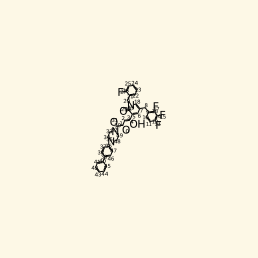 O=C(C=C(O)c1cc(Cc2ccc(F)c(F)c2F)cn(Cc2ccccc2F)c1=O)C(=O)N1CCN(c2ccc(-c3ccccc3)cc2)CC1